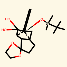 C=C1CC(O)(O)C2CCCC3(CCC4(OCCO4)C23)C[C@H]1O[Si](C)(C)C(C)(C)C